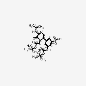 CC(C)Nc1ncc(-c2cc(NC(=O)OC(C)(C)C)cc(S(=O)(=O)O)c2)n(CC(=O)OC(C)(C)C)c1=O